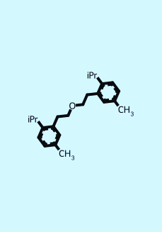 Cc1ccc(C(C)C)c(CCOCCc2cc(C)ccc2C(C)C)c1